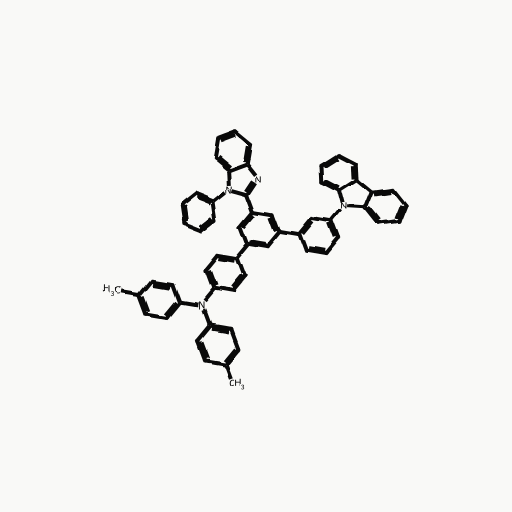 Cc1ccc(N(c2ccc(C)cc2)c2ccc(-c3cc(-c4cccc(-n5c6ccccc6c6ccccc65)c4)cc(-c4nc5ccccc5n4-c4ccccc4)c3)cc2)cc1